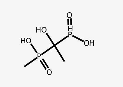 CC(O)([PH](=O)O)P(C)(=O)O